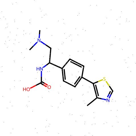 Cc1ncsc1-c1ccc(C(CN(C)C)NC(=O)O)cc1